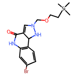 C[Si](C)(C)CCOCN1C=C2C(=O)Nc3cc(Br)ccc3C2N1